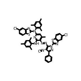 [C-]#[N+]c1c(-c2ccccc2)nn(-c2nc3cc(Cl)ccc3s2)c1/N=N/c1c(C)cc(N(c2nc3cc(Cl)ccc3s2)c2c(C)cc(C)cc2C)nc1Nc1c(C)cc(C)cc1C